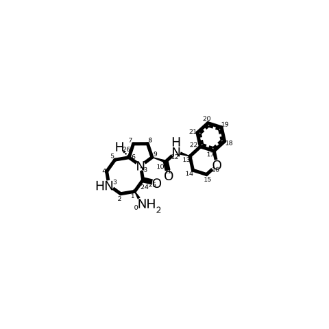 N[C@H]1CNCC[C@H]2CC[C@@H](C(=O)N[C@@H]3CCOc4ccccc43)N2C1=O